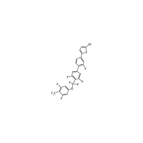 CCc1ccc(-c2ccc(-c3cc(F)c(C(F)(F)Oc4cc(F)c(C(F)(F)F)c(F)c4)c(F)c3)c(F)c2)s1